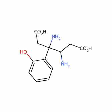 NC(CC(=O)O)C(N)(CC(=O)O)c1ccccc1O